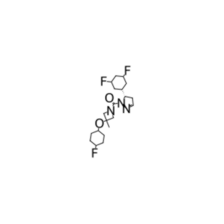 CC1(OC2CCC(F)CC2)CN(C(=O)N2N=CC[C@H]2C2CC(F)CC(F)C2)C1